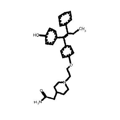 CCC(=C(c1ccc(O)cc1)c1ccc(OCCN2CCC(CC(N)=O)CC2)cc1)c1ccccc1